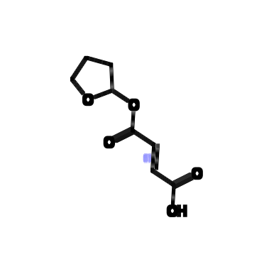 O=C(O)/C=C/C(=O)OC1CCCO1